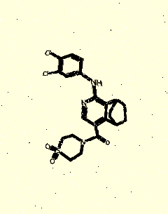 O=C(c1cnc(Nc2ccc(Cl)c(Cl)c2)c2c1C1CCC2CC1)N1CCS(=O)(=O)CC1